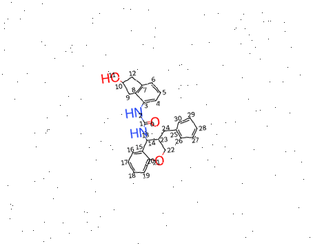 O=C(Nc1cccc2c1CC(O)C2)NC1c2ccccc2OCC1Cc1ccccc1